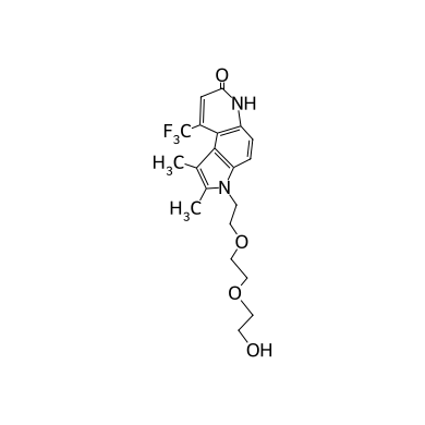 Cc1c(C)n(CCOCCOCCO)c2ccc3[nH]c(=O)cc(C(F)(F)F)c3c12